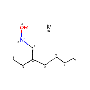 CCCCC(CC)C[N-]O.[K+]